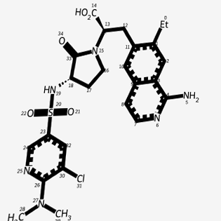 CCc1cc2c(N)nccc2cc1C[C@H](C(=O)O)N1CC[C@H](NS(=O)(=O)c2cnc(N(C)C)c(Cl)c2)C1=O